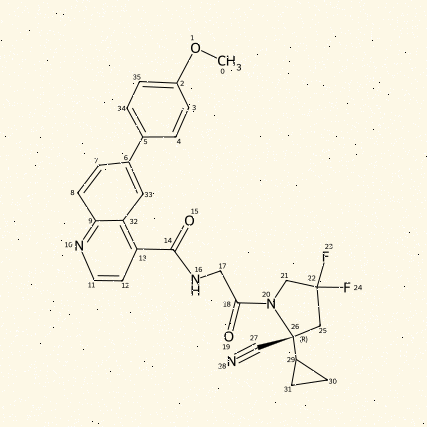 COc1ccc(-c2ccc3nccc(C(=O)NCC(=O)N4CC(F)(F)C[C@]4(C#N)C4CC4)c3c2)cc1